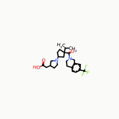 CC(C)C1(C(=O)N2CCc3ccc(C(F)(F)F)cc3C2)CCC(N2CCC(CC(=O)O)C2)C1